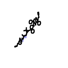 C#CCN1CC(=O)N(COC(=O)C2C(/C=C(C)/C=N/OCC=C)C2(C)C)C1=O